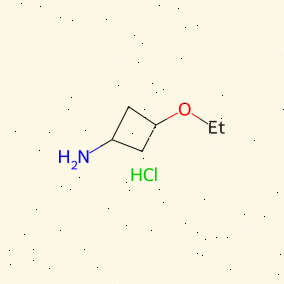 CCOC1CC(N)C1.Cl